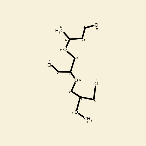 COC(CCl)COC(CCl)COC(C)CCCl